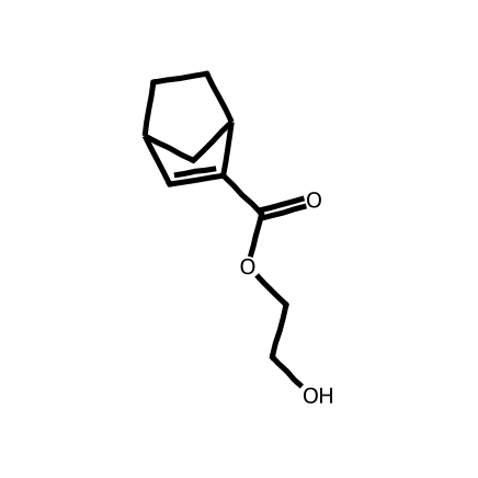 O=C(OCCO)C1=CC2CCC1C2